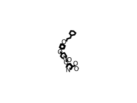 COC(=O)c1cncc(OC(=O)N2CCC(Oc3ccc(OCCCC4CCCCC4)cc3)CC2)c1